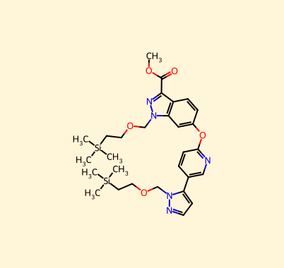 COC(=O)c1nn(COCC[Si](C)(C)C)c2cc(Oc3ccc(-c4ccnn4COCC[Si](C)(C)C)cn3)ccc12